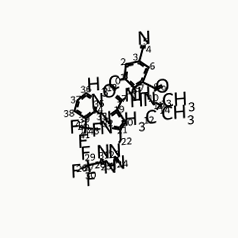 Cc1cc(C#N)cc(C(=O)NC(C)(C)C)c1NC(=O)c1cc(Cn2nnc(C(F)(F)F)n2)nn1-c1ncccc1C(F)(F)F